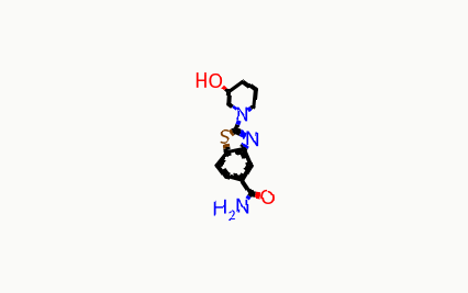 NC(=O)c1ccc2sc(N3CCCC(O)C3)nc2c1